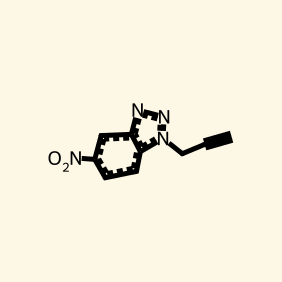 C#CCn1nnc2cc([N+](=O)[O-])ccc21